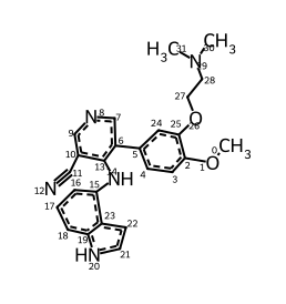 COc1ccc(-c2cncc(C#N)c2Nc2cccc3[nH]ccc23)cc1OCCN(C)C